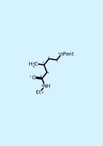 CCCCCCCC(C)CC(=O)NCC